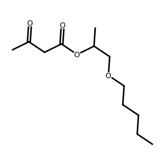 CCCCCOCC(C)OC(=O)CC(C)=O